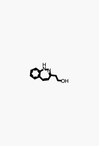 OCCC1=NNc2ccccc2C=C1